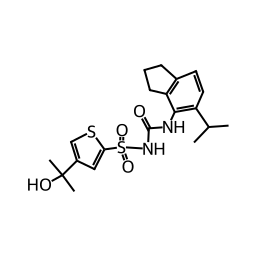 CC(C)c1ccc2c(c1NC(=O)NS(=O)(=O)c1cc(C(C)(C)O)cs1)CCC2